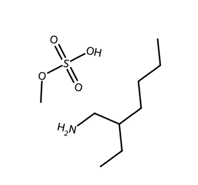 CCCCC(CC)CN.COS(=O)(=O)O